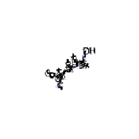 C=C/C=C\[C@H](C)[C@H](OCc1ccc(OC)cc1)[C@@H](C)[C@H](CC[C@H](C)C[C@@H](C)[C@@H](O[Si](C)(C)C(C)(C)C)[C@@H](C)/C=C\[C@H](C[C@H](O[Si](C)(C)C(C)(C)C)[C@@H](C)/C=C/CO)O[Si](C)(C)C(C)(C)C)O[Si](C)(C)C(C)(C)C